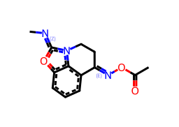 C/N=c1\oc2cccc3c2n1CC/C3=N\OC(C)=O